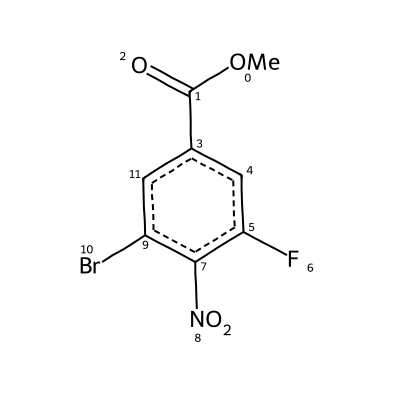 COC(=O)c1cc(F)c([N+](=O)[O-])c(Br)c1